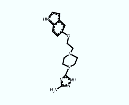 Nc1n[nH]c(N2CCN(CCOc3ccc4[nH]ccc4c3)CC2)n1